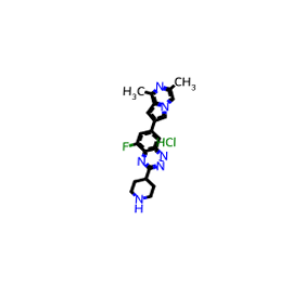 Cc1cn2cc(-c3cc(F)c4nc(C5CCNCC5)nnc4c3)cc2c(C)n1.Cl